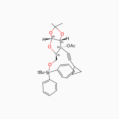 CC(=O)O[C@]1(C#CC2CC2)[C@@H](CO[Si](c2ccccc2)(c2ccccc2)C(C)(C)C)O[C@@H]2OC(C)(C)O[C@@H]21